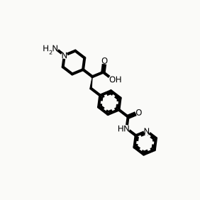 NN1CCC([C@H](Cc2ccc(C(=O)Nc3ccccn3)cc2)C(=O)O)CC1